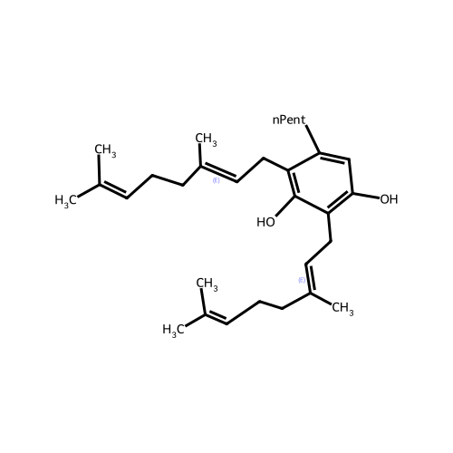 CCCCCc1cc(O)c(C/C=C(\C)CCC=C(C)C)c(O)c1C/C=C(\C)CCC=C(C)C